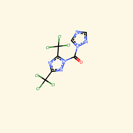 O=C(n1cncn1)n1nc(C(Cl)(Cl)Cl)nc1C(Cl)(Cl)Cl